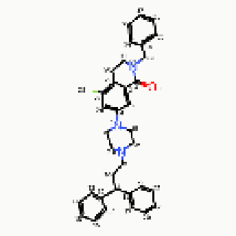 O=C1c2cc(N3CCN(CCC(c4ccccc4)c4ccccc4)CC3)cc(F)c2CCN1Cc1ccccc1